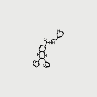 O=C(NCCc1cccnc1)c1ccc2nc(-c3ccco3)c(-c3ccco3)nc2c1